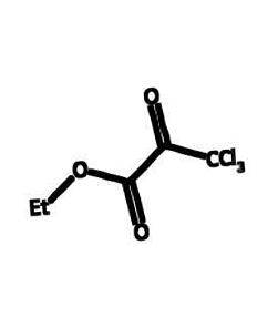 CCOC(=O)C(=O)C(Cl)(Cl)Cl